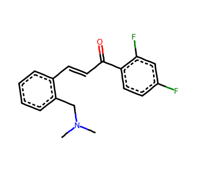 CN(C)Cc1ccccc1C=CC(=O)c1ccc(F)cc1F